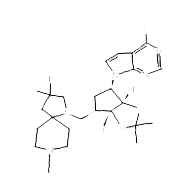 CN1CCC2(CC1)CC(F)(F)CN2C[C@H]1C[C@@H](n2ccc3c(Cl)ncnc32)[C@@H]2OC(C)(C)O[C@H]12